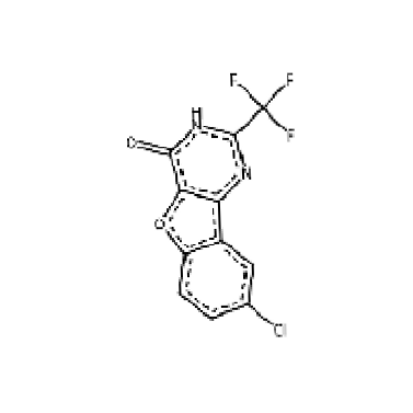 O=c1[nH]c(C(F)(F)F)nc2c1oc1ccc(Cl)cc12